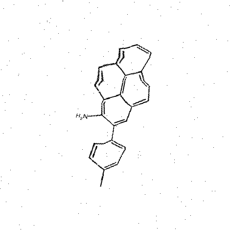 Cc1ccc(-c2cc3ccc4cccc5ccc(c2N)c3c45)cc1